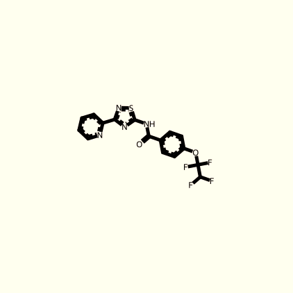 O=C(Nc1nc(-c2ccccn2)ns1)c1ccc(OC(F)(F)C(F)F)cc1